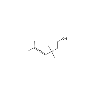 CC(C)=C=C[N+](C)(C)CCO